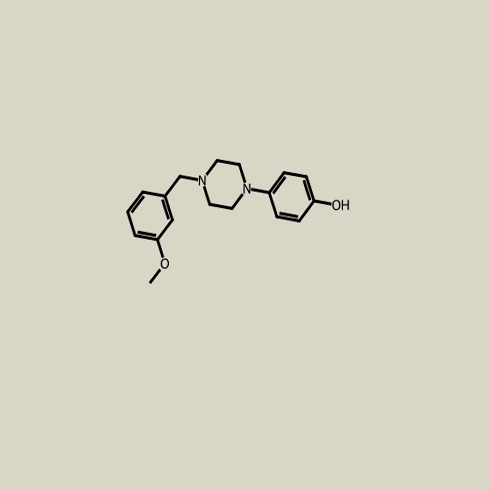 COc1cccc(CN2CCN(c3ccc(O)cc3)CC2)c1